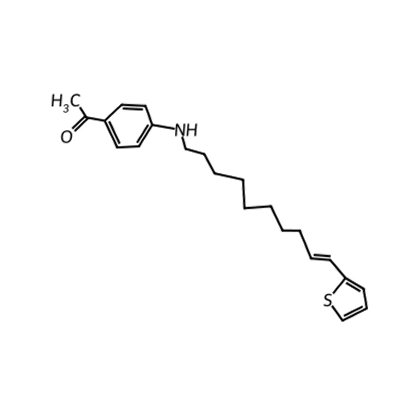 CC(=O)c1ccc(NCCCCCCCCC=Cc2cccs2)cc1